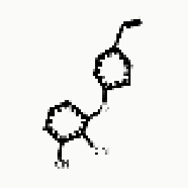 C=Cc1ccc(Oc2cccc(C#N)c2C#N)cc1